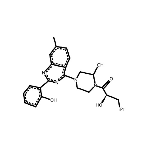 Cc1ccc2c(N3CCN(C(=O)[C@H](O)CC(C)C)C(O)C3)nc(-c3ccccc3O)nc2c1